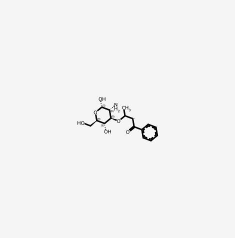 CC([CH]C(=O)c1ccccc1)O[C@@H]1[C@@H](N)[C@@H](O)O[C@H](CO)[C@H]1O